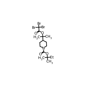 CCC(C)(C)OC(=O)N1CCC(C(C)(C)OC(=O)C(Br)(Br)Br)CC1